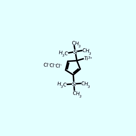 C[Si](C)(C)C1=C[C]([Ti+3])([Si](C)(C)C)C=C1.[Cl-].[Cl-].[Cl-]